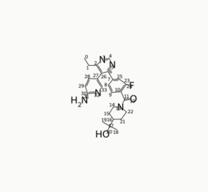 CCc1ncnc(-c2ccc(C(=O)N3CCC(C(C)(C)O)CC3)c(F)c2)c1-c1ccc(N)nc1